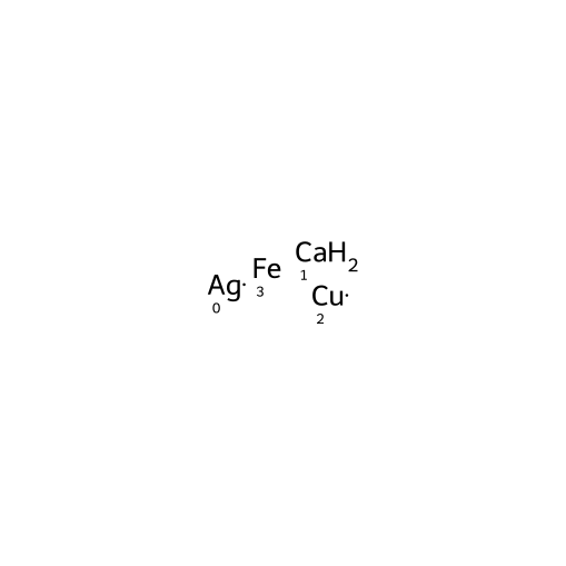 [Ag].[CaH2].[Cu].[Fe]